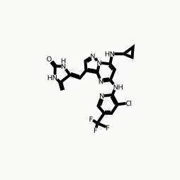 C=c1[nH]c(=O)[nH]/c1=C\c1cnn2c(NC3CC3)cc(Nc3ncc(C(F)(F)F)cc3Cl)nc12